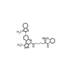 COc1ccccc1C(=O)NCCCCNc1nc2cc(-c3nc4ccccc4n3C)ccc2n2c(C)nnc12